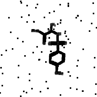 COC(=O)[C@@H](C)NS(=O)(=O)c1ccc(OC)cc1